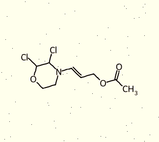 CC(=O)OC/C=C/N1CCOC(Cl)C1Cl